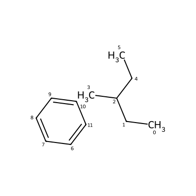 CCC(C)CC.c1ccccc1